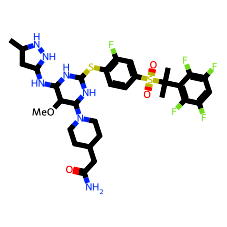 COC1C(NC2CC(C)NN2)NC(Sc2ccc(S(=O)(=O)C(C)(C)c3c(F)c(F)cc(F)c3F)cc2F)NC1N1CCC(CC(N)=O)CC1